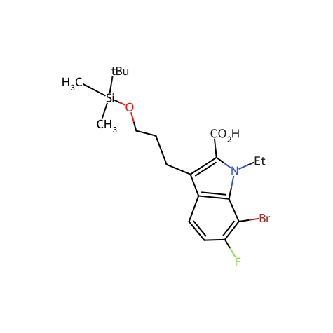 CCn1c(C(=O)O)c(CCCO[Si](C)(C)C(C)(C)C)c2ccc(F)c(Br)c21